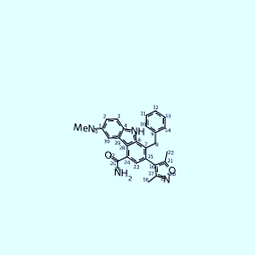 CNc1ccc2[nH]c3c(Cc4ccccc4)c(-c4c(C)noc4C)cc(C(N)=O)c3c2c1